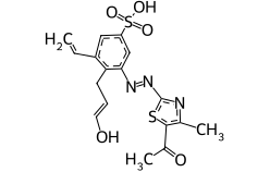 C=Cc1cc(S(=O)(=O)O)cc(N=Nc2nc(C)c(C(C)=O)s2)c1CC=CO